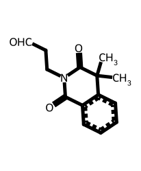 CC1(C)C(=O)N(CCC=O)C(=O)c2ccccc21